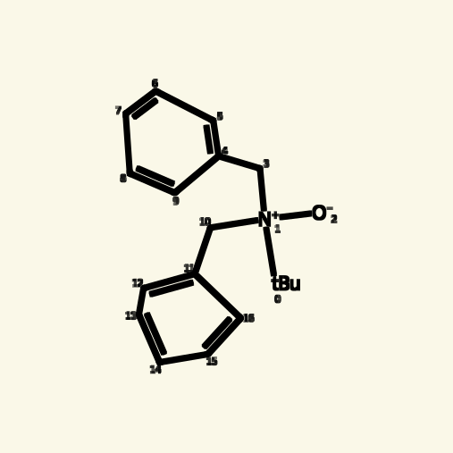 CC(C)(C)[N+]([O-])(Cc1ccccc1)Cc1ccccc1